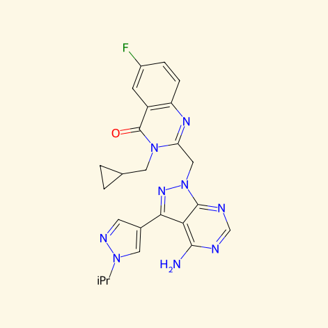 CC(C)n1cc(-c2nn(Cc3nc4ccc(F)cc4c(=O)n3CC3CC3)c3ncnc(N)c23)cn1